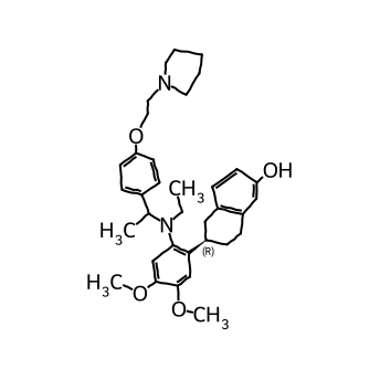 CCN(c1cc(OC)c(OC)cc1[C@@H]1CCc2cc(O)ccc2C1)C(C)c1ccc(OCCN2CCCCC2)cc1